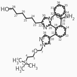 C[Si](C)(C)CCOCn1cc(-c2cccc(C(N)=O)c2-c2nc(CCCCCCO)cn2-c2ccccc2)cn1